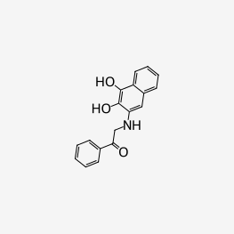 O=C(CNc1cc2ccccc2c(O)c1O)c1ccccc1